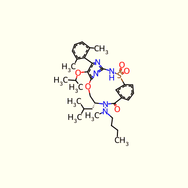 CCCCN(C)N1C(=O)c2cccc(c2)S(=O)(=O)Nc2nc(c(OC(C)C)c(-c3c(C)cccc3C)n2)OC[C@H]1CC(C)C